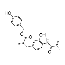 C=C(C)C(=O)Nc1ccc(CC(=C)C(=O)OCc2ccc(O)cc2)cc1O